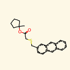 CC1(OC(=O)CSCc2ccc3cc4ccccc4cc3c2)CCCC1